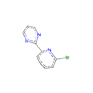 Brc1cccc(-c2ncccn2)n1